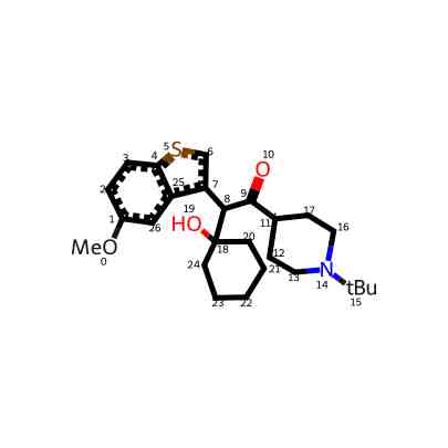 COc1ccc2scc(C(C(=O)[C]3CCN(C(C)(C)C)CC3)C3(O)CCCCC3)c2c1